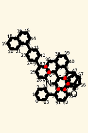 c1ccc(N(c2ccc(-c3ccc(-c4cccc5ccccc45)cc3)cc2)c2ccccc2-c2cccc3cccc(C4CCCCC4)c23)c(-c2ccc3oc4ccccc4c3c2)c1